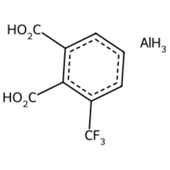 O=C(O)c1cccc(C(F)(F)F)c1C(=O)O.[AlH3]